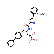 COc1ccccc1-c1cc(C(=O)NC(Cc2ccc(-c3ccccc3)cc2)C[C@@H](O)C(=O)O)no1